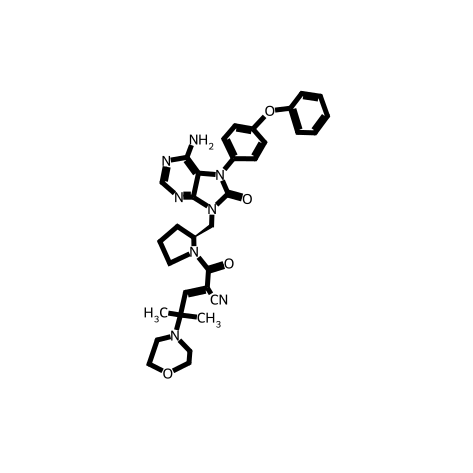 CC(C)(C=C(C#N)C(=O)N1CCC[C@H]1Cn1c(=O)n(-c2ccc(Oc3ccccc3)cc2)c2c(N)ncnc21)N1CCOCC1